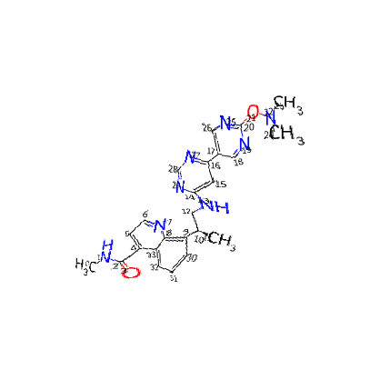 CNC(=O)c1ccnc2c([C@H](C)CNc3cc(-c4cnc(ON(C)C)nc4)ncn3)cccc12